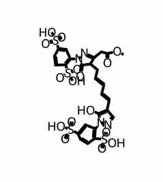 COC(=O)CC1=NN(c2cc(S(=O)(=O)O)ccc2S(=O)(=O)O)C(=O)C1CC=CC=Cc1cnn(-c2cc(S(=O)(=O)O)ccc2S(=O)(=O)O)c1O